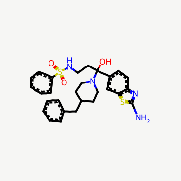 Nc1nc2ccc(C(O)(CCNS(=O)(=O)c3ccccc3)N3CCC(Cc4ccccc4)CC3)cc2s1